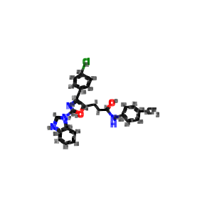 O=C(CCc1oc(-n2cnc3ccccc32)nc1-c1ccc(Cl)cc1)Nc1ccc(C(F)(F)F)cc1